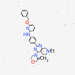 CCN1CCc2c(nc(-c3ccc(Nc4cccc(OCc5ccccc5)n4)cc3)nc2N2CCOC[C@@H]2C)C1